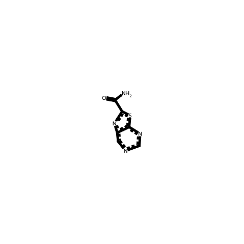 NC(=O)c1nc2cncnc2s1